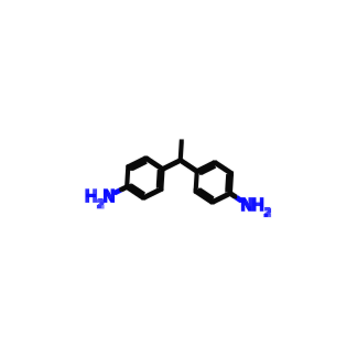 CC(c1ccc(N)cc1)c1ccc(N)cc1